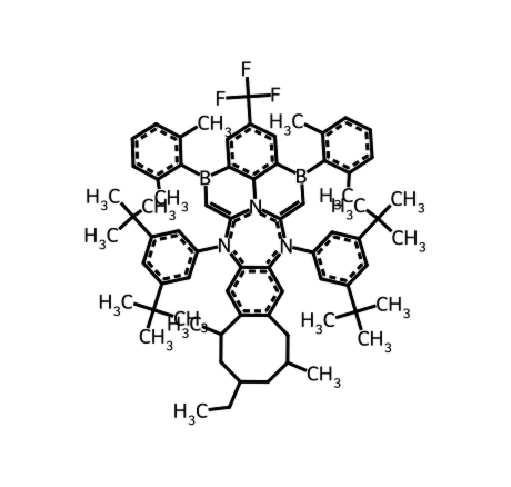 CCC1CC(C)Cc2cc3c(cc2C(C)C1)n(-c1cc(C(C)(C)C)cc(C(C)(C)C)c1)c1n2c(n3-c3cc(C(C)(C)C)cc(C(C)(C)C)c3)=CB(c3c(C)cccc3C)c3cc(C(F)(F)F)cc(c3-2)B(c2c(C)cccc2C)C=1